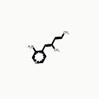 C/C=C/C(C)=C/c1ccncc1N